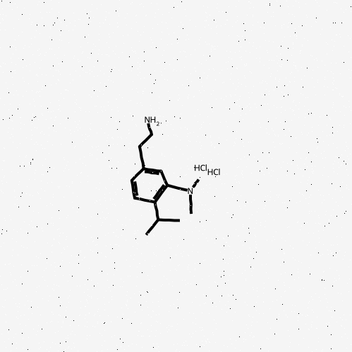 CC(C)c1ccc(CCN)cc1N(C)C.Cl.Cl